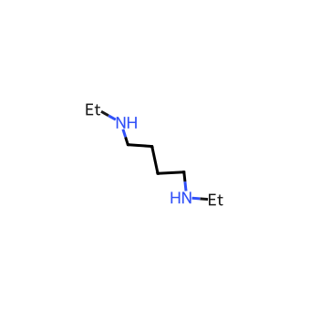 CCNCCCCNCC